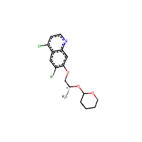 C[C@H](COc1cc2nccc(Cl)c2cc1Br)OC1CCCCO1